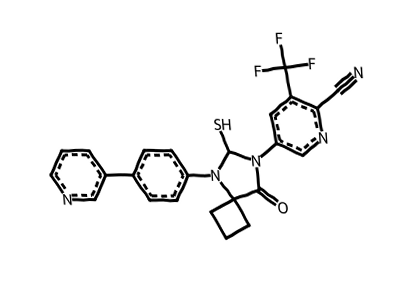 N#Cc1ncc(N2C(=O)C3(CCC3)N(c3ccc(-c4cccnc4)cc3)C2S)cc1C(F)(F)F